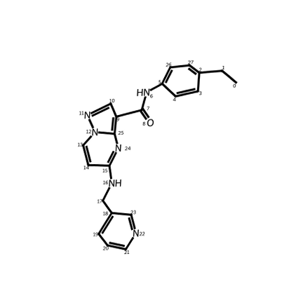 CCc1ccc(NC(=O)c2cnn3ccc(NCc4cccnc4)nc23)cc1